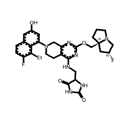 CCc1c(F)ccc2cc(O)cc(N3CCc4c(nc(OC[C@@]56CCCN5C[C@H](F)C6)nc4NCC4NC(=O)NC4=O)C3)c12